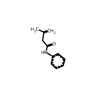 C=C(C)CC(=O)Nc1ccccc1